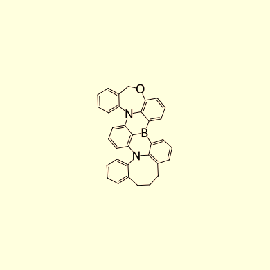 c1ccc2c(c1)CCCc1cccc3c1N2c1cccc2c1B3c1cccc3c1N2c1ccccc1CO3